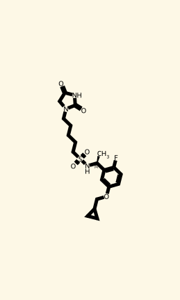 C[C@H](NS(=O)(=O)CCCCCN1CC(=O)NC1=O)c1cc(OCC2CC2)ccc1F